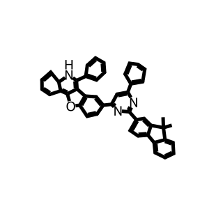 CC1(C)c2ccccc2-c2ccc(-c3nc(-c4ccccc4)cc(-c4ccc5oc6c(c5c4)=C(c4ccccc4)NC4C=CC=CC=64)n3)cc21